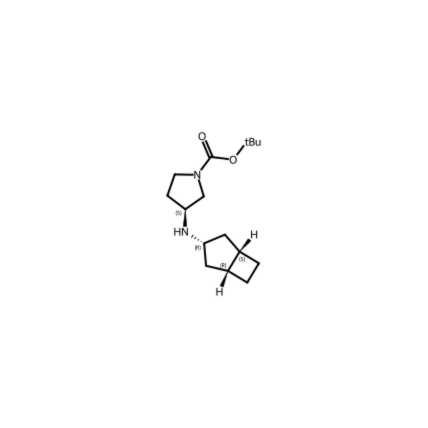 CC(C)(C)OC(=O)N1CC[C@H](N[C@H]2C[C@H]3CC[C@H]3C2)C1